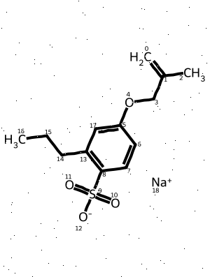 C=C(C)COc1ccc(S(=O)(=O)[O-])c(CCC)c1.[Na+]